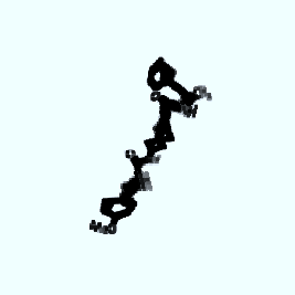 COc1ccc(CNC(=O)NC2CC3(C2)CC(C(=O)NC(C)c2ccccc2)C3)cc1